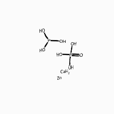 O=P(O)(O)O.OP(O)O.[CaH2].[Zn]